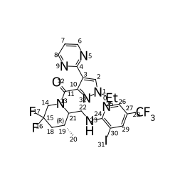 CCn1cc(-c2ncccn2)c(C(=O)N2CC(F)(F)C[C@@H](C)C2CNc2ncc(C(F)(F)F)cc2I)n1